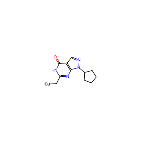 CCC(C)Cc1nc2c(cnn2C2CCCC2)c(=O)[nH]1